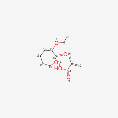 C=C(C)C(=O)O.CCOC1CCCCOC1=O